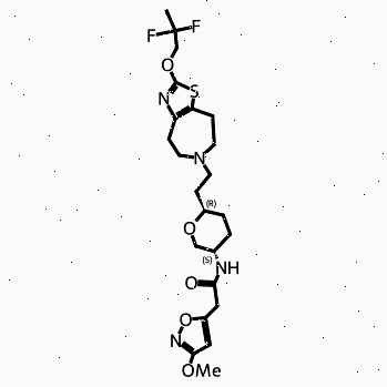 COc1cc(CC(=O)N[C@H]2CC[C@H](CCN3CCc4nc(OCC(C)(F)F)sc4CC3)OC2)on1